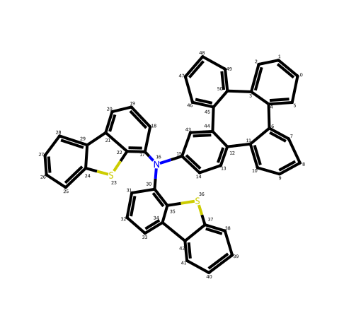 c1ccc2c(c1)-c1ccccc1-c1ccc(N(c3cccc4c3sc3ccccc34)c3cccc4c3sc3ccccc34)cc1-c1ccccc1-2